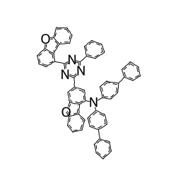 c1ccc(-c2ccc(N(c3ccc(-c4ccccc4)cc3)c3cc(-c4nc(-c5ccccc5)nc(-c5cccc6oc7ccccc7c56)n4)cc4oc5ccccc5c34)cc2)cc1